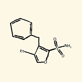 CCc1coc(S(N)(=O)=O)c1Cc1ccccc1